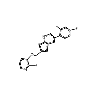 Cc1cc(F)ccc1-c1cnc2nc(COc3cccnc3F)cn2c1